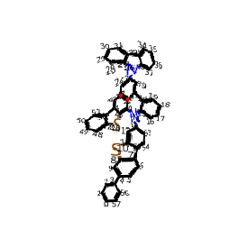 c1ccc(-c2ccc3c(c2)sc2cc(N(c4ccccc4-c4cccc(-n5c6ccccc6c6ccccc65)c4)c4cccc5c4sc4ccccc45)ccc23)cc1